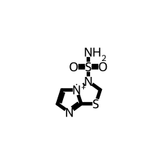 NS(=O)(=O)N1CSC2=NC=C[N+]21